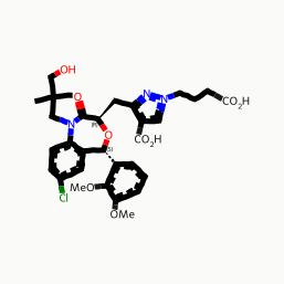 COc1cccc([C@H]2O[C@H](Cc3nn(CCCC(=O)O)cc3C(=O)O)C(=O)N(CC(C)(C)CO)c3ccc(Cl)cc32)c1OC